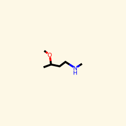 CNCCC(C)OC